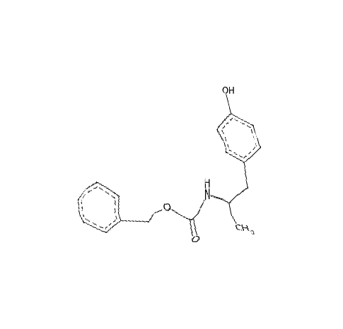 CC(Cc1ccc(O)cc1)NC(=O)OCc1ccccc1